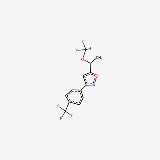 CC(OC(F)(F)I)c1cc(-c2ccc(C(F)(F)F)cc2)no1